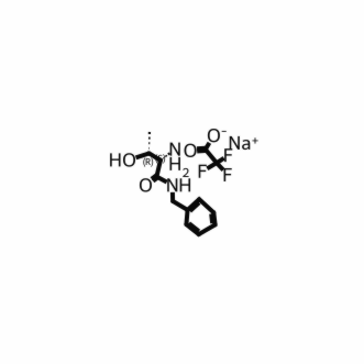 C[C@@H](O)[C@H](N)C(=O)NCc1ccccc1.O=C([O-])C(F)(F)F.[Na+]